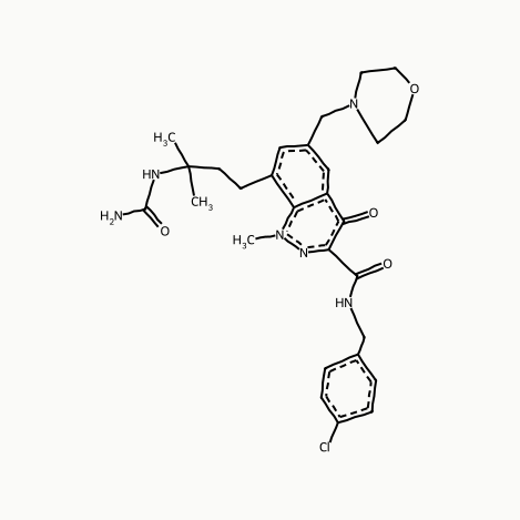 Cn1nc(C(=O)NCc2ccc(Cl)cc2)c(=O)c2cc(CN3CCOCC3)cc(CCC(C)(C)NC(N)=O)c21